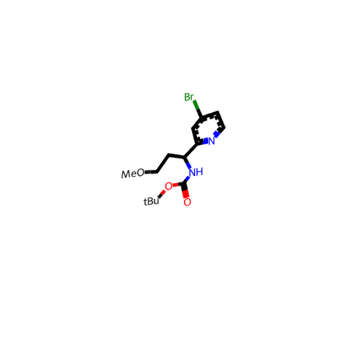 COCCC(NC(=O)OC(C)(C)C)c1cc(Br)ccn1